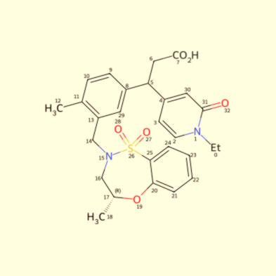 CCn1ccc(C(CC(=O)O)c2ccc(C)c(CN3C[C@@H](C)Oc4ccccc4S3(=O)=O)c2)cc1=O